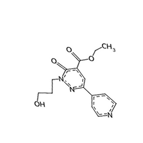 CCOC(=O)c1cc(-c2ccncc2)nn(CCCO)c1=O